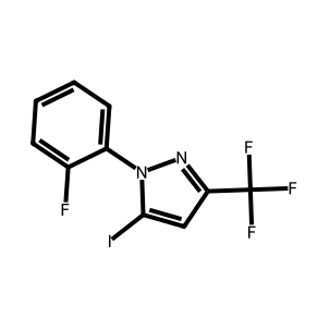 Fc1ccccc1-n1nc(C(F)(F)F)cc1I